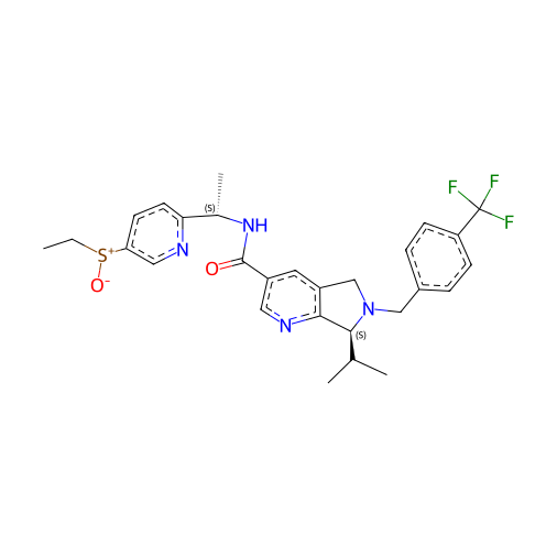 CC[S+]([O-])c1ccc([C@H](C)NC(=O)c2cnc3c(c2)CN(Cc2ccc(C(F)(F)F)cc2)[C@H]3C(C)C)nc1